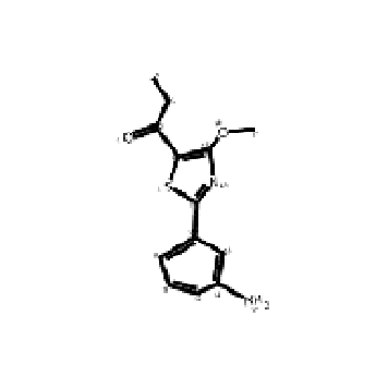 CCC(=O)c1sc(-c2cccc(N)c2)nc1OC